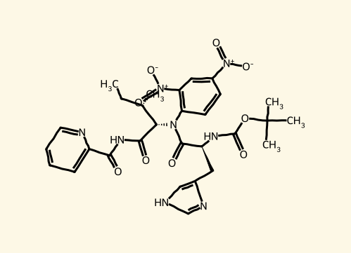 CC[C@H](C)[C@@H](C(=O)NC(=O)c1ccccn1)N(C(=O)[C@H](Cc1c[nH]cn1)NC(=O)OC(C)(C)C)c1ccc([N+](=O)[O-])cc1[N+](=O)[O-]